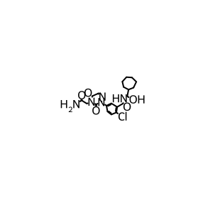 NC(=O)Cn1c(=O)cnn(-c2ccc(Cl)c(C(=O)NC(O)C3CCCCCC3)c2)c1=O